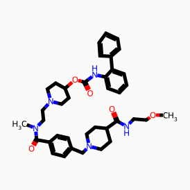 COCCNC(=O)C1CCN(Cc2ccc(C(=O)N(C)CCN3CCC(OC(=O)Nc4ccccc4-c4ccccc4)CC3)cc2)CC1